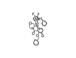 CSc1ccccc1[C@@H](c1ccc(F)c(F)c1)N1[C@@H]2COCCN2C(=O)c2c(OCc3ccccc3)c(=O)ccn21